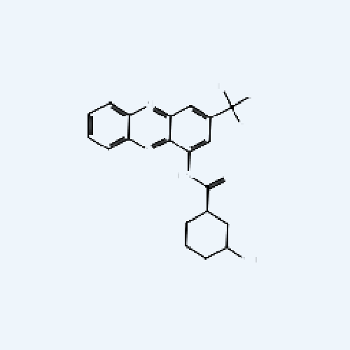 NC1CCCC(C(=O)Nc2cc(C(F)(F)F)cc3nc4ccccc4nc23)C1